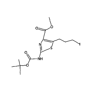 COC(=O)c1nc(NC(=O)OC(C)(C)C)sc1CCCI